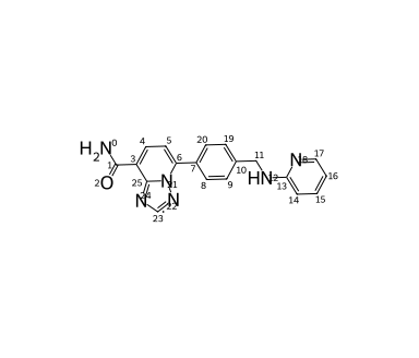 NC(=O)c1ccc(-c2ccc(CNc3ccccn3)cc2)n2n[c]nc12